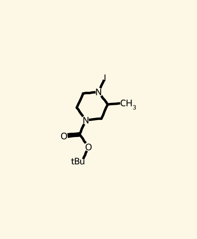 CC1CN(C(=O)OC(C)(C)C)CCN1I